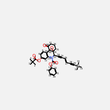 CC(C)(C)C(=O)Oc1ccc2c(c1)N(C(=O)Oc1ccccc1)C(C#CC=CC#C[Si](C)(C)C)C13CCCC(=O)C21O3